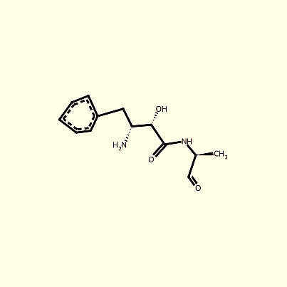 C[C@@H](C=O)NC(=O)[C@@H](O)[C@H](N)Cc1ccccc1